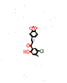 Cc1cc(O)c(C(=O)/C=C/c2ccc3c(c2)OCO3)cc1Cl